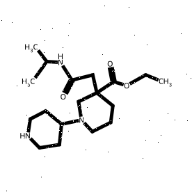 CCOC(=O)C1(CC(=O)NC(C)C)CCCN(C2CCNCC2)C1